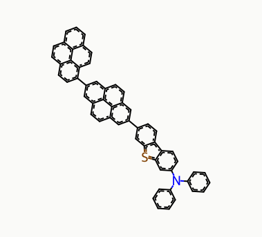 c1ccc(N(c2ccccc2)c2ccc3c(c2)sc2cc(-c4cc5ccc6cc(-c7ccc8ccc9cccc%10ccc7c8c9%10)cc7ccc(c4)c5c67)ccc23)cc1